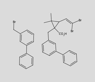 BrCc1cccc(-c2ccccc2)c1.CC1(C)C(C=C(Br)Br)C1(Cc1cccc(-c2ccccc2)c1)C(=O)O